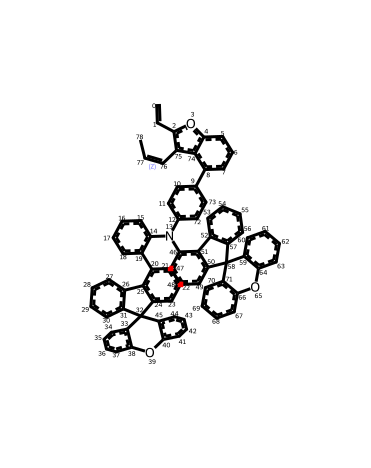 C=Cc1oc2cccc(-c3ccc(N(c4ccccc4-c4cccc5c4-c4ccccc4C54c5ccccc5Oc5ccccc54)c4cccc5c4-c4ccccc4C54c5ccccc5Oc5ccccc54)cc3)c2c1/C=C\C